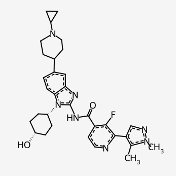 Cc1c(-c2nccc(C(=O)Nc3nc4cc(C5CCN(C6CC6)CC5)ccc4n3[C@H]3CC[C@@H](O)CC3)c2F)cnn1C